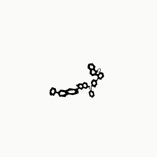 c1ccc(-c2ccc3ccc(-c4ccc5ccc(N(c6ccccc6)c6ccc(-c7cccc8oc9c%10ccccc%10ccc9c78)cc6)cc5c4)cc3c2)cc1